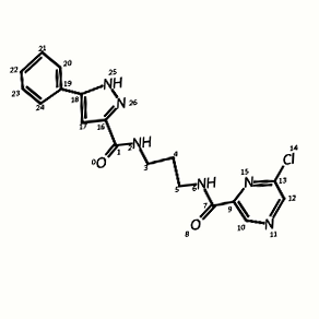 O=C(NCCCNC(=O)c1cncc(Cl)n1)c1cc(-c2ccccc2)[nH]n1